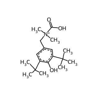 CC(C)(C)c1cc(C[N+](C)(C)C(=O)O)cc(C(C)(C)C)c1O